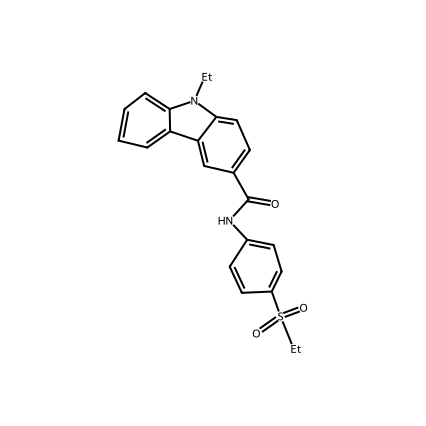 CCn1c2ccccc2c2cc(C(=O)Nc3ccc(S(=O)(=O)CC)cc3)ccc21